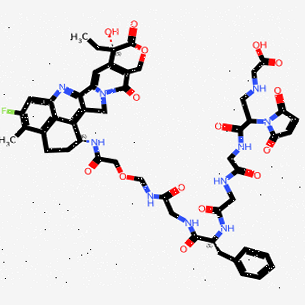 CC[C@@]1(O)C(=O)OCc2c1cc1n(c2=O)Cc2c-1nc1cc(F)c(C)c3c1c2[C@H](NC(=O)COCNC(=O)CNC(=O)[C@H](Cc1ccccc1)NC(=O)CNC(=O)CNC(=O)C(CNCC(=O)O)N1C(=O)C=CC1=O)CC3